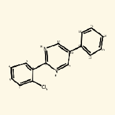 Clc1ccccc1-c1ncc(-c2ccccc2)cn1